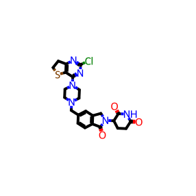 O=C1CCC(N2Cc3cc(CN4CCN(c5nc(Cl)nc6c5SCC6)CC4)ccc3C2=O)C(=O)N1